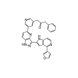 O=C(Cc1ccccc1)Cc1cncc(-c2ccc3[nH]nc(-c4cc5c(-c6ccoc6)nccc5[nH]4)c3n2)c1